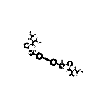 COC(=O)N[C@H](C(=O)N1CCC[C@H]1c1ncc(-c2ccc(C#Cc3ccc(-c4cnc([C@@H]5CCCN5C(=O)[C@@H](NC(=O)OC)[C@@H](C)OC)[nH]4)cc3)cc2)[nH]1)C(C)C